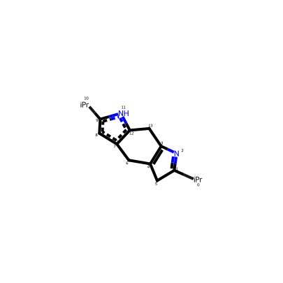 CC(C)C1=NC2=C(C1)Cc1cc(C(C)C)[nH]c1C2